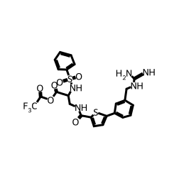 N=C(N)NCc1cccc(-c2ccc(C(=O)NCC(NS(=O)(=O)c3ccccc3)C(=O)OC(=O)C(F)(F)F)s2)c1